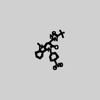 Cn1c2ccccc2c2c1cc(-c1noc(C(C)(C)C)n1)c(=O)n2-c1ccc([N+](=O)[O-])cc1